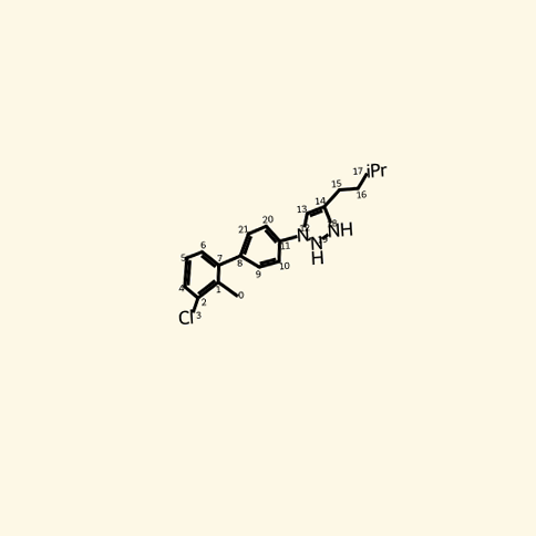 Cc1c(Cl)cccc1-c1ccc(N2C=C(CCC(C)C)NN2)cc1